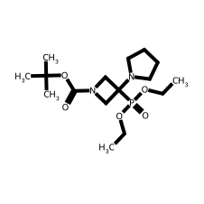 CCOP(=O)(OCC)C1(N2CCCC2)CN(C(=O)OC(C)(C)C)C1